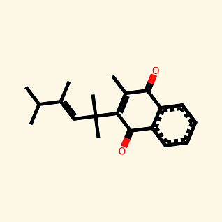 CC1=C(C(C)(C)/C=C(\C)C(C)C)C(=O)c2ccccc2C1=O